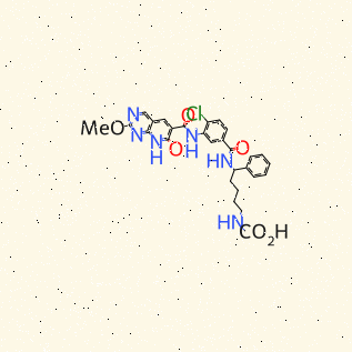 COc1ncc2cc(C(=O)Nc3cc(C(=O)NC(CCCCNC(=O)O)c4ccccc4)ccc3Cl)c(=O)[nH]c2n1